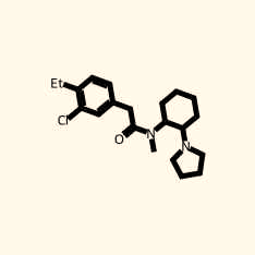 CCc1ccc(CC(=O)N(C)C2CCCCC2N2CCCC2)cc1Cl